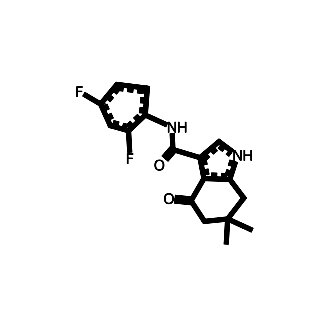 CC1(C)CC(=O)c2c(C(=O)Nc3ccc(F)cc3F)c[nH]c2C1